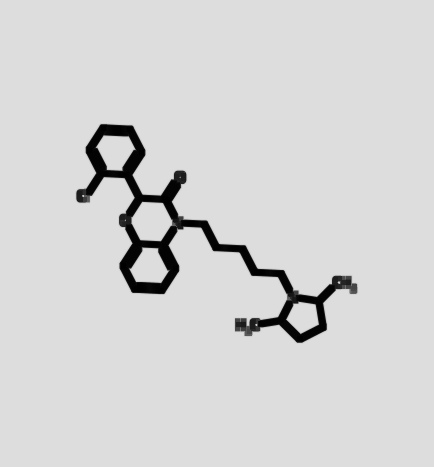 CC1CCC(C)N1CCCCCN1C(=O)C(c2ccccc2Cl)Oc2ccccc21